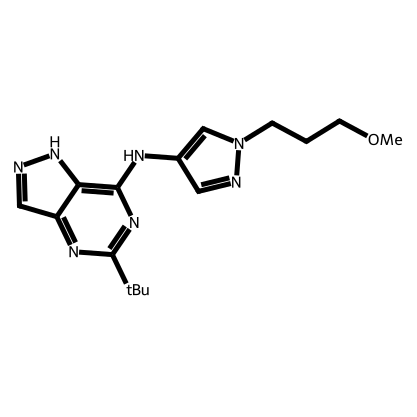 COCCCn1cc(Nc2nc(C(C)(C)C)nc3cn[nH]c23)cn1